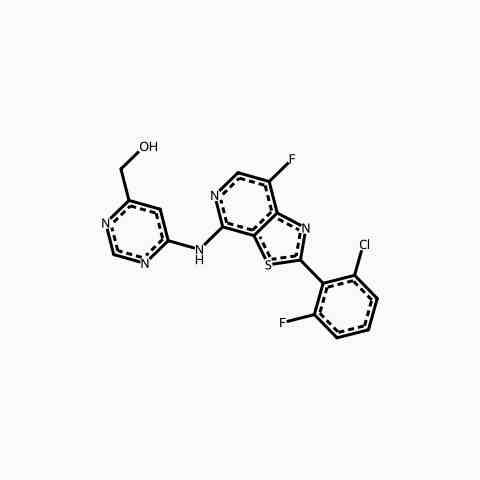 OCc1cc(Nc2ncc(F)c3nc(-c4c(F)cccc4Cl)sc23)ncn1